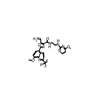 COc1ccnc(NCCNC(=O)c2nc(-c3ccc(OC)c4nc(C(F)(F)F)ccc34)oc2CN)n1